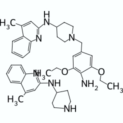 CCOc1cc(CN2CCC(Nc3cc(C)c4ccccc4n3)CC2)cc(OCC)c1N.Cc1cc(NC2CCNCC2)nc2ccccc12